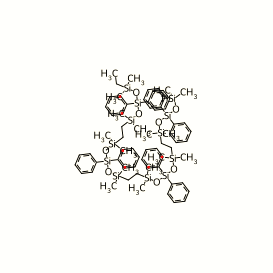 CC[Si](C)(C)O[Si](O[Si](C)(C)CC[Si](C)(C)O[Si](O[Si](C)(C)CC[Si](C)(C)O[Si](O[Si](C)(C)CC[Si](C)(C)O[Si](O[SiH](C)C)(c1ccccc1)c1ccccc1)(c1ccccc1)c1ccccc1)(c1ccccc1)c1ccccc1)(c1ccccc1)c1ccccc1